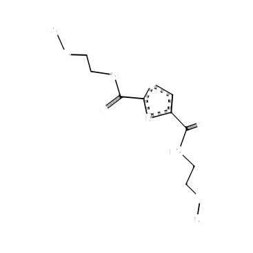 O=C(NCCO[N+](=O)[O-])c1csc(C(=O)NCCO[N+](=O)[O-])n1